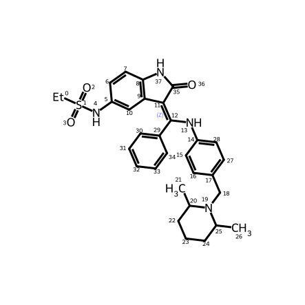 CCS(=O)(=O)Nc1ccc2c(c1)/C(=C(/Nc1ccc(CN3C(C)CCCC3C)cc1)c1ccccc1)C(=O)N2